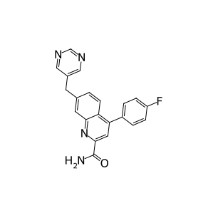 NC(=O)c1cc(-c2ccc(F)cc2)c2ccc(Cc3cncnc3)cc2n1